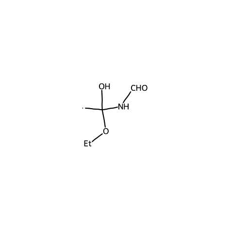 [CH2]C(O)(NC=O)OCC